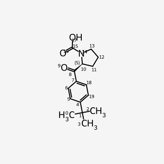 CC(C)(C)c1ccc(C(=O)[C@@H]2CCCN2C(=O)O)cc1